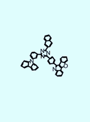 c1cc(-c2nc(-c3ccc(-c4nc5ccccc5c5oc6ccccc6c45)cc3)nc(-c3ccc4ccccc4c3)n2)cc(-n2c3ccccc3c3ccccc32)c1